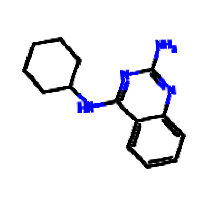 Nc1nc(NC2CCCCC2)c2ccccc2n1